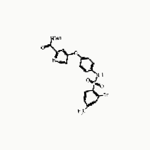 CNC(=O)c1cc(Oc2ccc(NS(=O)(=O)c3ccc(C(F)(F)F)cc3Br)cc2)ccn1